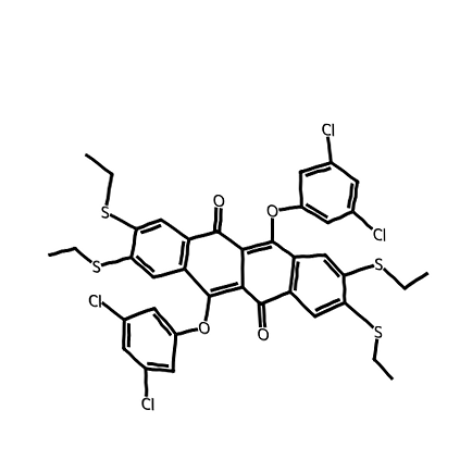 CCSc1cc2c(cc1SCC)C(Oc1cc(Cl)cc(Cl)c1)=C1C(=O)c3cc(SCC)c(SCC)cc3C(Oc3cc(Cl)cc(Cl)c3)=C1C2=O